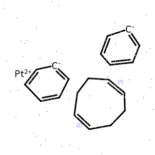 C1=C\CC/C=C\CC/1.[Pt+2].[c-]1ccccc1.[c-]1ccccc1